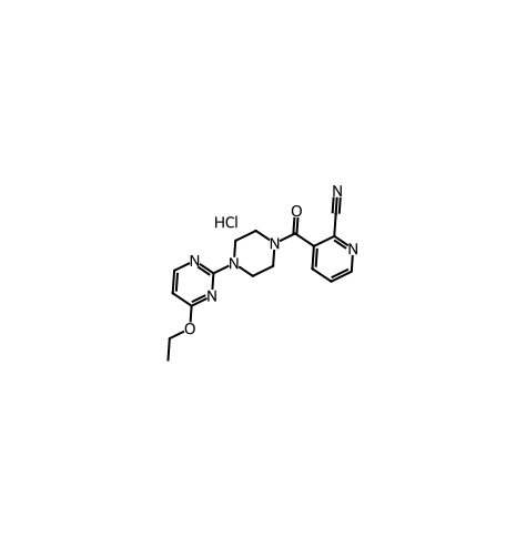 CCOc1ccnc(N2CCN(C(=O)c3cccnc3C#N)CC2)n1.Cl